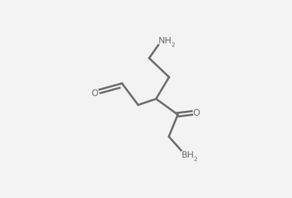 BCC(=O)C(CC=O)CCN